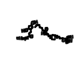 CCCCCCCC(=O)CC[C@@H]1[C@@H](C/C=C\CCCC(=O)NCCN2CCN(CCCON(O)O)CC2)[C@@H](O)C[C@H]1O